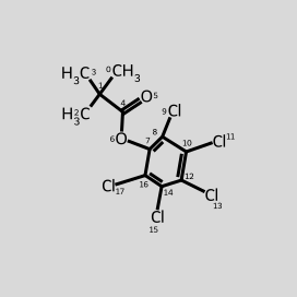 CC(C)(C)C(=O)Oc1c(Cl)c(Cl)c(Cl)c(Cl)c1Cl